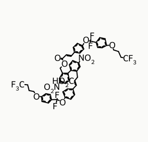 O=C(C=Cc1ccc(OC(F)(F)c2ccc(OCCCC(F)(F)F)cc2)cc1)OCc1cc([N+](=O)[O-])ccc1-c1ccc([N+](=O)[O-])cc1CC(=Cc1ccc(OC(F)(F)c2ccc(OCCCC(F)(F)F)cc2)cc1)C(=O)O